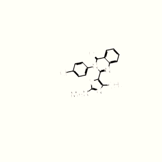 CNc1nc(C)c(-c2nc3ccccc3c(=O)n2-c2ccc(Cl)cc2)s1